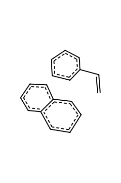 C=Cc1ccccc1.c1ccc2ccccc2c1